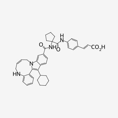 O=C(O)/C=C/c1ccc(NC(=O)C2(NC(=O)c3ccc4c(C5CCCCC5)c5n(c4c3)C/C=C\CNc3ccccc3-5)CCCC2)cc1